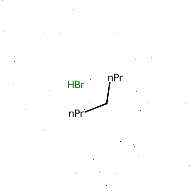 Br.CCCCCCC